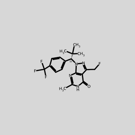 Cc1nc2c(c(CF)nn2[C@H](c2ccc(C(F)(F)F)cc2)C(C)(C)C)c(=O)[nH]1